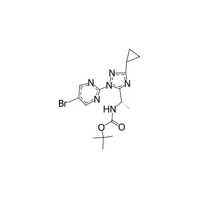 C[C@H](NC(=O)OC(C)(C)C)c1nc(C2CC2)nn1-c1ncc(Br)cn1